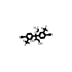 CCOC(c1ccc(C#N)c(C(F)(F)F)c1)(c1ccc(C#N)c(C(F)(F)F)c1)C(O)CO